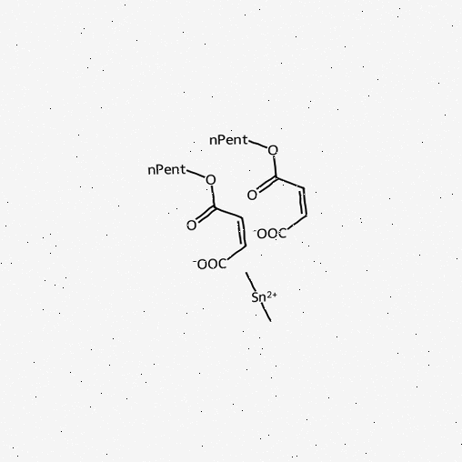 CCCCCOC(=O)/C=C\C(=O)[O-].CCCCCOC(=O)/C=C\C(=O)[O-].[CH3][Sn+2][CH3]